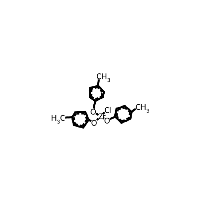 Cc1ccc([O][Zr]([Cl])([O]c2ccc(C)cc2)[O]c2ccc(C)cc2)cc1